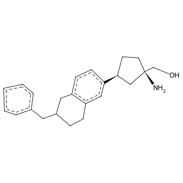 N[C@]1(CO)CC[C@H](c2ccc3c(c2)CCC(Cc2ccccc2)C3)C1